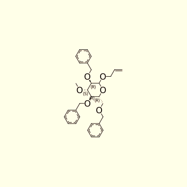 C=CCOC1O[C@H](COCc2ccccc2)[C@@H](OCc2ccccc2)[C@H](OC)[C@H]1OCc1ccccc1